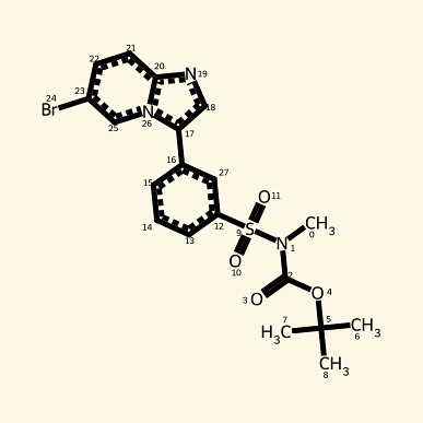 CN(C(=O)OC(C)(C)C)S(=O)(=O)c1cccc(-c2cnc3ccc(Br)cn23)c1